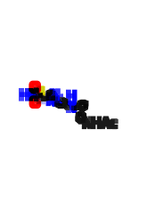 CC(=O)Nc1cccc(-c2ccccc2CNCC2CCN(c3nccc(/C=C4\SC(=O)NC4=O)n3)CC2)c1